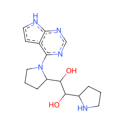 OC(C1CCCN1)C(O)C1CCCN1c1ncnc2[nH]ccc12